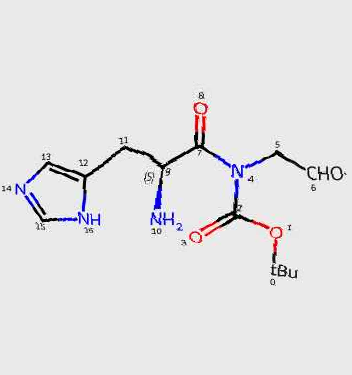 CC(C)(C)OC(=O)N(C[C]=O)C(=O)[C@@H](N)Cc1cnc[nH]1